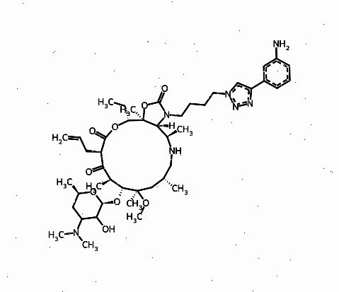 C=CC[C@H]1C(=O)O[C@H](CC)[C@@]2(C)OC(=O)N(CCCCn3cc(-c4cccc(N)c4)nn3)[C@@H]2[C@@H](C)NC[C@H](C)C[C@@](C)(OC)[C@H](O[C@@H]2O[C@H](C)CC(N(C)C)C2O)[C@@H](C)C1=O